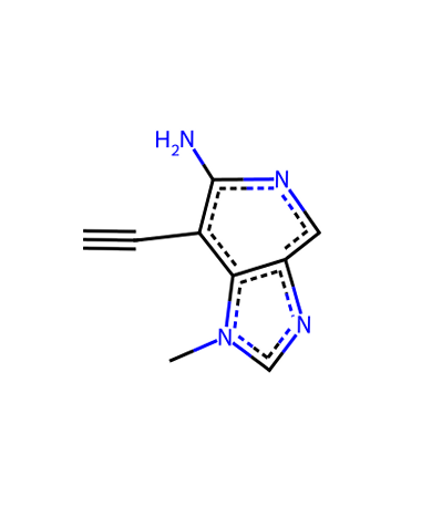 C#Cc1c(N)ncc2ncn(C)c12